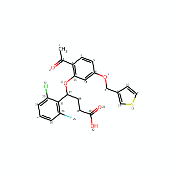 CC(=O)c1ccc(OCc2ccsc2)cc1OC(CCC(=O)O)c1c(F)cccc1Cl